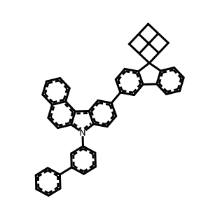 c1ccc(-c2cccc(-n3c4ccc(-c5ccc6c(c5)-c5ccccc5C65C6CC7CC8CC5C786)cc4c4c5ccccc5ccc43)c2)cc1